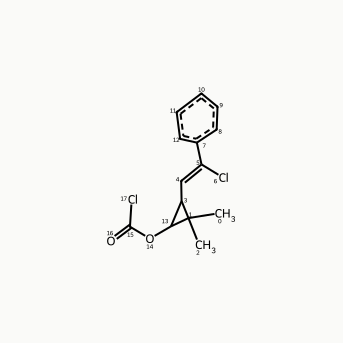 CC1(C)C(C=C(Cl)c2ccccc2)C1OC(=O)Cl